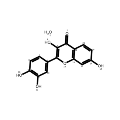 O.O=c1c(O)c(-c2ccc(O)c(O)c2)oc2cc(O)ccc12